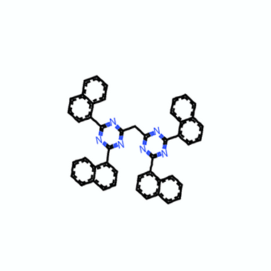 c1ccc2c(-c3nc(Cc4nc(-c5cccc6ccccc56)nc(-c5cccc6ccccc56)n4)nc(-c4cccc5ccccc45)n3)cccc2c1